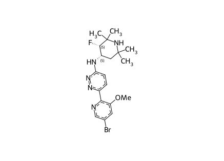 COc1cc(Br)cnc1-c1ccc(N[C@H]2CC(C)(C)NC(C)(C)[C@H]2F)nn1